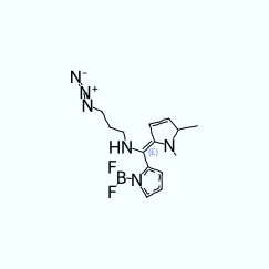 CC1C=C/C(=C(\NCCCN=[N+]=[N-])c2cccn2B(F)F)N1C